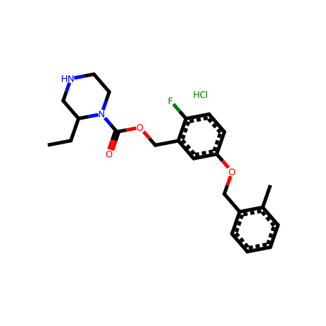 CCC1CNCCN1C(=O)OCc1cc(OCc2ccccc2C)ccc1F.Cl